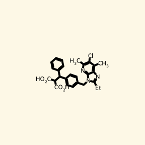 CCc1nc2c(C)c(Cl)c(C)nc2n1Cc1ccc(C(c2ccccc2)C(C(=O)O)C(=O)O)cc1